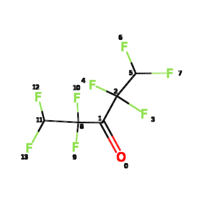 O=C(C(F)(F)C(F)F)C(F)(F)C(F)F